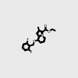 CCOC(=O)c1c(C)cc2c(OCc3c(F)cccc3F)cccn12